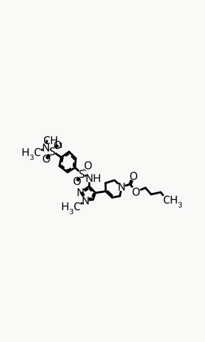 CCCCOC(=O)N1CC=C(c2cn(C)nc2NS(=O)(=O)c2ccc(S(=O)(=O)N(C)C)cc2)CC1